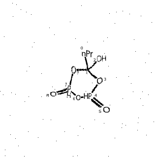 CCCC1(O)O[PH](=O)O[PH](=O)O1